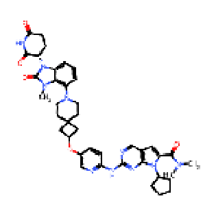 CN(C)C(=O)c1cc2cnc(Nc3ccc(OC4CC5(CCN(c6cccc7c6n(C)c(=O)n7[C@H]6CCC(=O)NC6=O)CC5)C4)cn3)nc2n1C1CCCC1